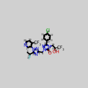 CC(F)c1nc(Cn2nc(-c3ccc(Cl)cc3)n(C[C@H](O)C(F)(F)F)c2=O)nn1-c1cnccc1C(F)(F)F